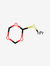 CCCSC1OCOCO1